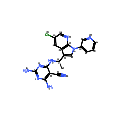 C[C@H](Nc1nc(N)nc(N)c1C#N)c1cn(-c2cccnc2)c2ncc(Cl)cc12